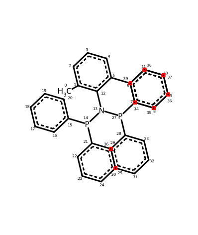 Cc1cccc(-c2ccccc2)c1N(P(c1ccccc1)c1ccccc1)P(c1ccccc1)c1ccccc1